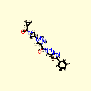 O=C(NCc1nnc(-c2ccccc2)s1)c1cn(C2CN(C(=O)C3CC3)C2)nn1